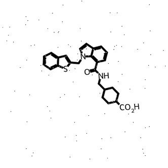 O=C(NCC1CCC(C(=O)O)CC1)c1cccc2ccn(Cc3cc4ccccc4s3)c12